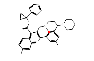 CCc1ccc2c(C(=O)NC3(c4ccccc4)CC3)c(CN3CCC(N4CCCCC4)CC3)c(-c3cccc(C(F)(F)F)c3)nc2c1